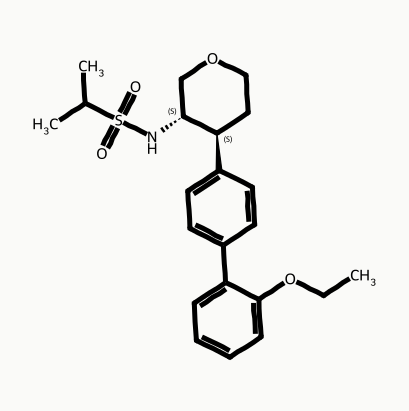 CCOc1ccccc1-c1ccc([C@@H]2CCOC[C@H]2NS(=O)(=O)C(C)C)cc1